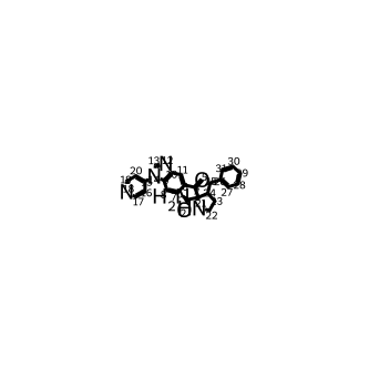 NC(=O)C1(C(=O)c2ccc3c(c2)ncn3-c2ccncc2)NCCC1Cc1ccccc1